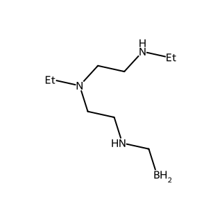 BCNCCN(CC)CCNCC